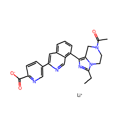 CCc1nc(-c2cccc3cc(-c4ccc(C(=O)[O-])nc4)ncc23)c2n1CCN(C(C)=O)C2.[Li+]